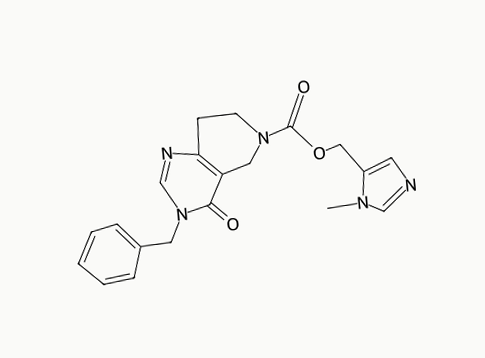 Cn1cncc1COC(=O)N1CCc2ncn(Cc3ccccc3)c(=O)c2C1